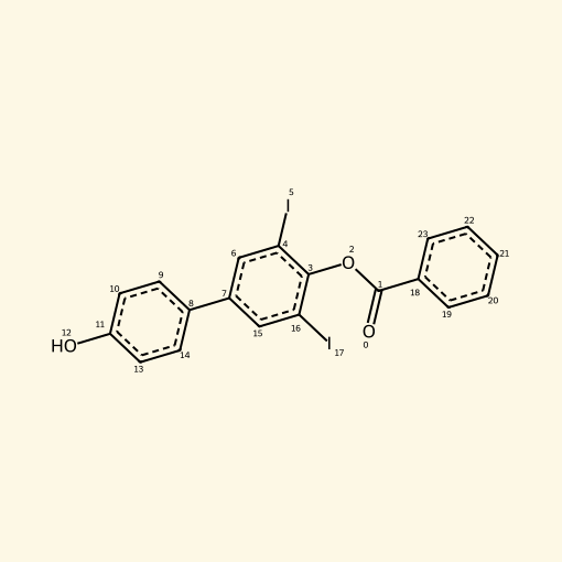 O=C(Oc1c(I)cc(-c2ccc(O)cc2)cc1I)c1ccccc1